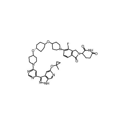 CC1(Oc2cc3c(-c4cc(N5CCC(O[C@H]6CC[C@H](OC7CCN(c8ccc9c(c8F)CN(C8CCC(=O)NC8=O)C9=O)CC7)CC6)CC5)ncn4)n[nH]c3cn2)CC1